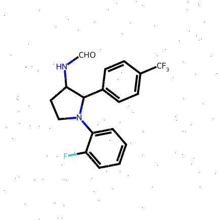 O=CNC1CCN(c2ccccc2F)C1c1ccc(C(F)(F)F)cc1